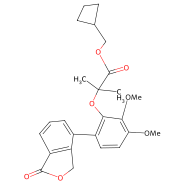 COc1ccc(-c2cccc3c2COC3=O)c(OC(C)(C)C(=O)OCC2CCC2)c1OC